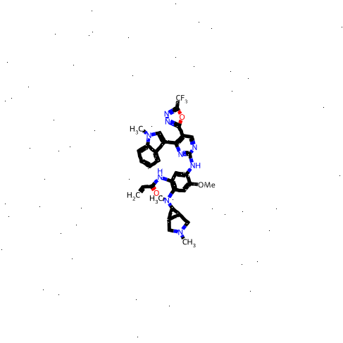 C=CC(=O)Nc1cc(Nc2ncc(-c3nnc(C(F)(F)F)o3)c(-c3cn(C)c4ccccc34)n2)c(OC)cc1N(C)C1C2CN(C)CC21